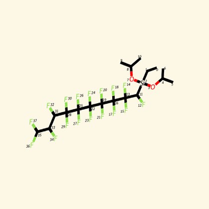 CC[Si](OC(C)C)(OC(C)C)C(F)C(F)(F)C(F)(F)C(F)(F)C(F)(F)C(F)(F)C(F)(F)C(F)C(F)C(F)F